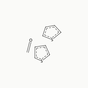 C=O.c1ccsc1.c1ccsc1